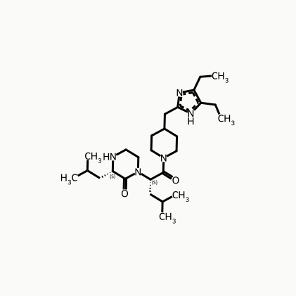 CCc1nc(CC2CCN(C(=O)[C@H](CC(C)C)N3CCN[C@@H](CC(C)C)C3=O)CC2)[nH]c1CC